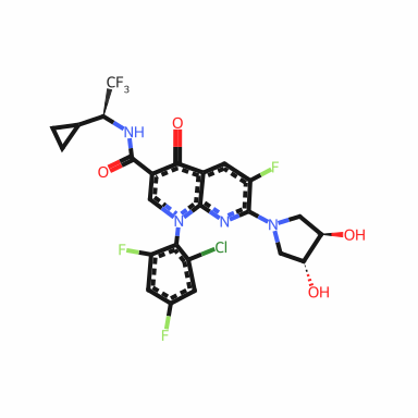 O=C(N[C@@H](C1CC1)C(F)(F)F)c1cn(-c2c(F)cc(F)cc2Cl)c2nc(N3C[C@@H](O)[C@H](O)C3)c(F)cc2c1=O